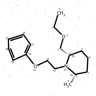 CCOC[C@@H]1CCC[C@H](C)N1CCOc1ccccc1